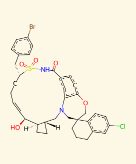 O=C1NS(=O)(=O)[C@@H](Cc2ccc(Br)cc2)CC/C=C/[C@H](O)[C@@H]2CC[C@H]2CN2C[C@@]3(CCCc4cc(Cl)ccc43)COc3ccc1cc32